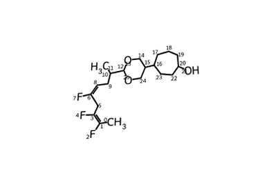 C/C(F)=C(/F)C/C(F)=C\CC(C)C1OCC(C2CCCC(O)CC2)CO1